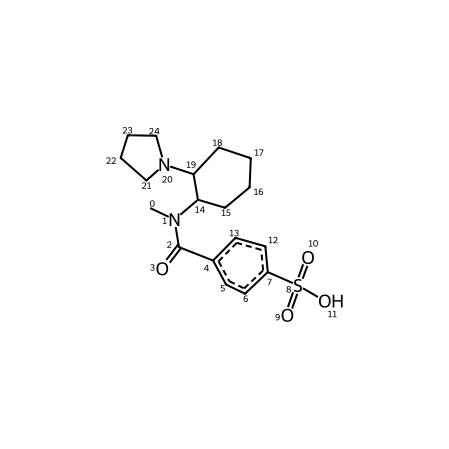 CN(C(=O)c1ccc(S(=O)(=O)O)cc1)C1CCCCC1N1CCCC1